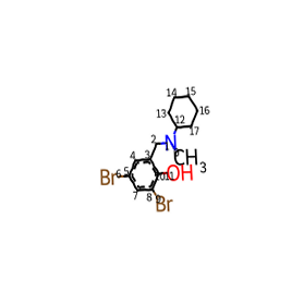 CN(Cc1cc(Br)cc(Br)c1O)C1CCCCC1